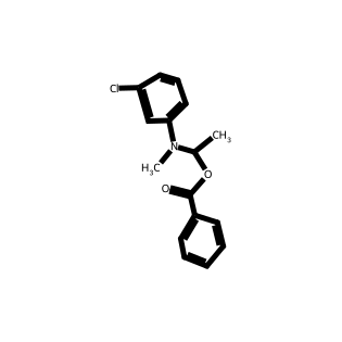 CC(OC(=O)c1ccccc1)N(C)c1cccc(Cl)c1